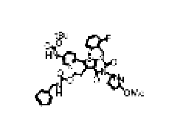 COc1ccc(-n2c(=O)c3c(CCOC(=O)NCc4ccccc4)c(-c4ccc(NC(=O)OC(C)(C)C)cn4)sc3n(Cc3c(F)cccc3F)c2=O)nn1